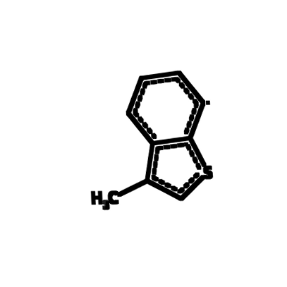 Cc1csc2[c]cccc12